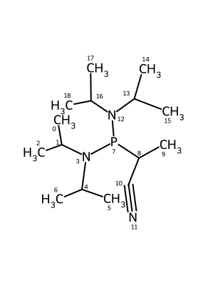 CC(C)N(C(C)C)P(C(C)C#N)N(C(C)C)C(C)C